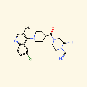 Cc1cnc2ccc(Cl)cc2c1N1CCC(C(=O)N2CCN(C=N)C(=N)C2)CC1